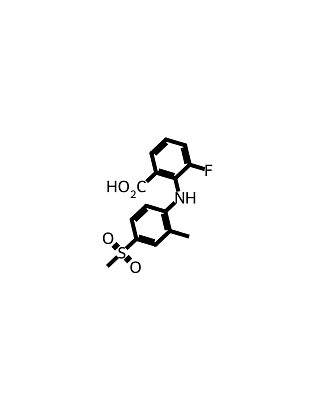 Cc1cc(S(C)(=O)=O)ccc1Nc1c(F)cccc1C(=O)O